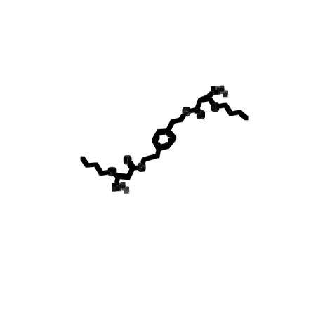 CCCCOC(N)=CC(=O)OCCc1ccc(CCOC(=O)C=C(N)OCCCC)cc1